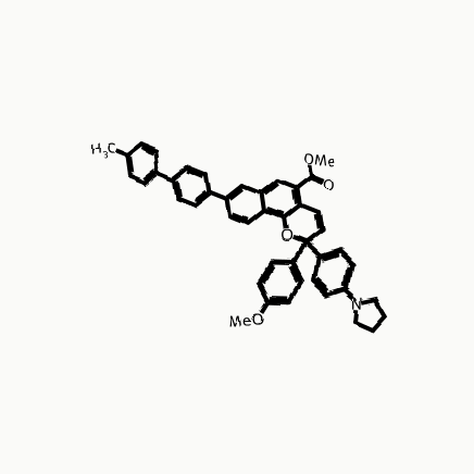 COC(=O)c1cc2cc(-c3ccc(-c4ccc(C)cc4)cc3)ccc2c2c1C=CC(c1ccc(OC)cc1)(c1ccc(N3CCCC3)cc1)O2